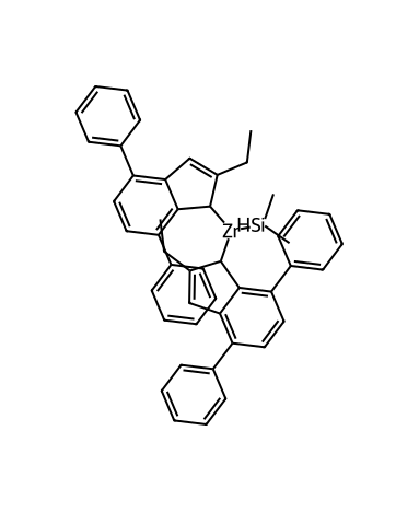 CCC1=Cc2c(-c3ccccc3)ccc(-c3ccccc3)c2[CH]1[Zr]([CH]1C(CC)=Cc2c(-c3ccccc3)ccc(-c3ccccc3)c21)[SiH](C)C